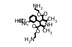 CC1=C(C(=O)OCCN)C(c2cccc(C#N)c2)C(C(=O)OCCN)=C(C)N1.Cl.Cl